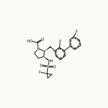 O=C(O)N1CC[C@H](NS(=O)(=O)C2(F)CC2)[C@@H]1Cc1cccc(-c2cccc(F)c2)c1F